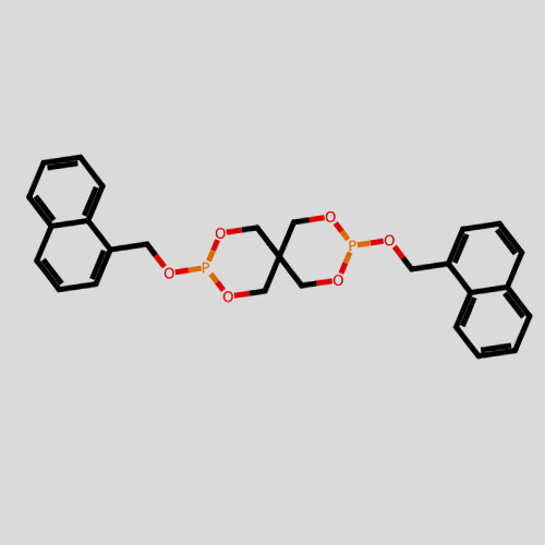 c1ccc2c(COP3OCC4(CO3)COP(OCc3cccc5ccccc35)OC4)cccc2c1